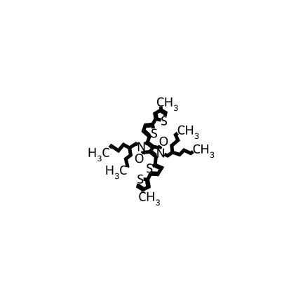 CCCCC(CCCC)CN1C(=O)C2=C(c3ccc(-c4cc(C)cs4)s3)N(CC(CCCC)CCCC)C(=O)C2=C1c1ccc(-c2cc(C)cs2)s1